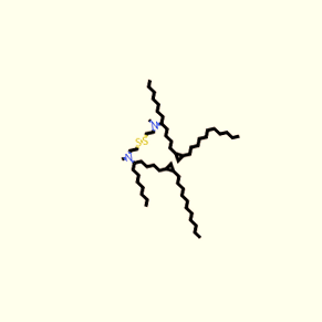 CCCCCCCCCCCC1CC1CCCCC(CCCCCCC)N(C)CCSSCCN(C)C(CCCCCCC)CCCCC1CC1CCCCCCCCCCC